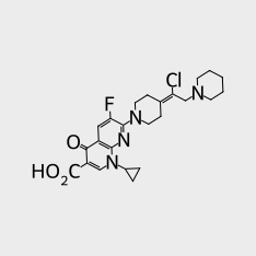 O=C(O)c1cn(C2CC2)c2nc(N3CCC(=C(Cl)CN4CCCCC4)CC3)c(F)cc2c1=O